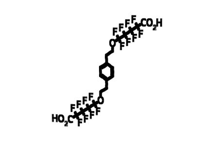 O=C(O)C(F)(F)C(F)(F)C(F)(F)C(F)(F)OCCc1ccc(CCOC(F)(F)C(F)(F)C(F)(F)C(F)(F)C(=O)O)cc1